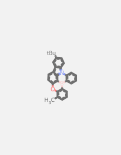 Cc1cccc2c1Oc1ccc3c4cc(C(C)(C)C)ccc4n4c3c1B2c1ccccc1-4